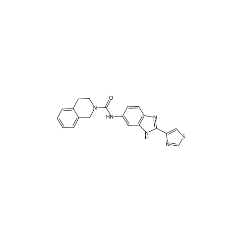 O=C(Nc1ccc2nc(-c3cscn3)[nH]c2c1)N1CCc2ccccc2C1